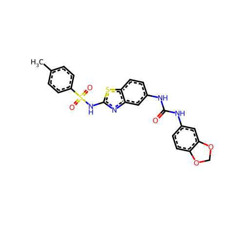 Cc1ccc(S(=O)(=O)Nc2nc3cc(NC(=O)Nc4ccc5c(c4)OCO5)ccc3s2)cc1